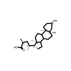 C[C@H](C[C@H](C)C(=O)O)[C@H]1CCC2C3CC[C@@H]4C[C@H](O)CC[C@]4(C)C3CC[C@@]21C